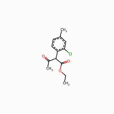 CCOC(=O)C(C(C)=O)c1ccc(C)cc1Cl